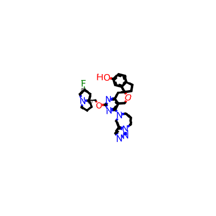 Oc1ccc2c(c1)C1(CC2)Cc2nc(OC[C@@]34CCCN3C[C@H](F)C4)nc(N3CCCn4nncc4C3)c2CO1